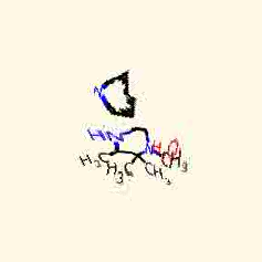 CC1NCCN(C)C1(C)C.O.c1ccncc1